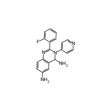 Nc1ccc2c(c1)C(N)N(c1ccncc1)C(c1ccccc1F)=N2